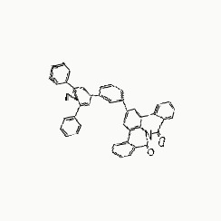 O=c1c2ccccc2c2cc(-c3cccc(-c4cc(-c5ccccc5)nc(-c5ccccc5)c4)c3)cc3c4ccccc4c(=O)n1c23